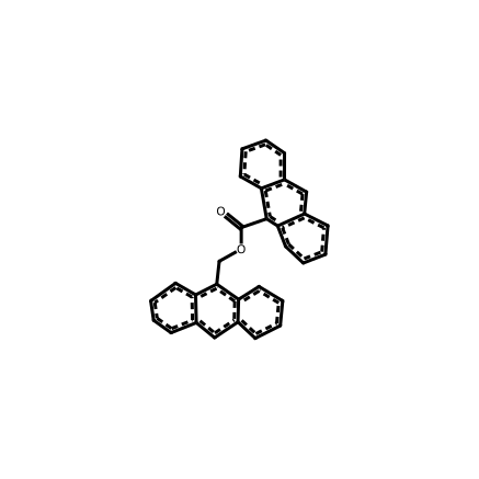 O=C(OCc1c2ccccc2cc2ccccc12)c1c2ccccc2cc2ccccc12